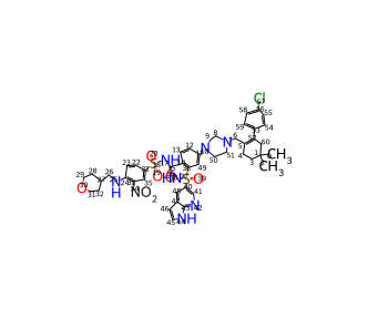 CC1(C)CCC(CN2CCN(c3ccc(C(=O)NS(=O)(=O)c4ccc(NCC5CCOCC5)c([N+](=O)[O-])c4)c(S(=N)(=O)c4cnc5[nH]ccc5c4)c3)CC2)=C(c2ccc(Cl)cc2)C1